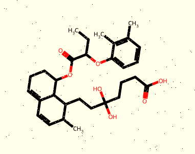 CCC(Oc1cccc(C)c1C)C(=O)OC1CCC=C2C=CC(C)C(CCC(O)(O)CCCC(=O)O)C21